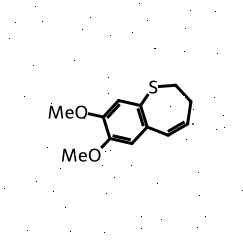 COc1cc2c(cc1OC)SCC[C]=C2